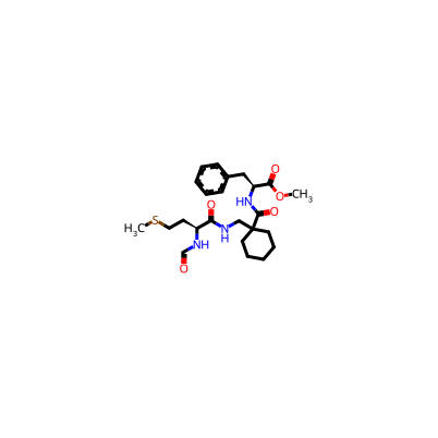 COC(=O)[C@H](Cc1ccccc1)NC(=O)C1(CNC(=O)[C@H](CCSC)NC=O)CCCCC1